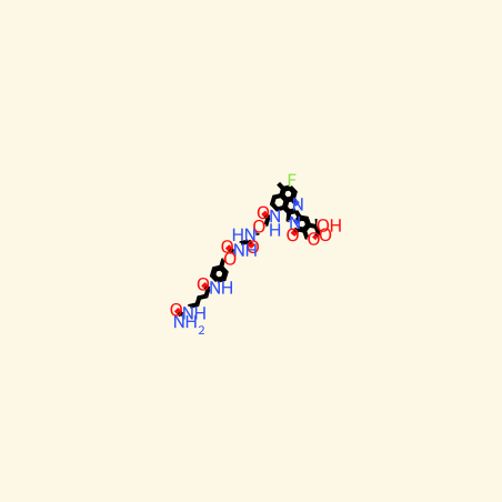 Cc1c(F)cc2nc3c(c4c2c1CC[C@@H]4NC(=O)COCNC(=O)CNC(=O)OCc1ccc(NC(=O)CCCCNC(N)=O)cc1)Cn1c-3cc2c(c1=O)COC(=O)[C@@]2(C)O